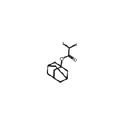 O=C(OC12CC3CC(CC(C3)C1)C2)C(I)I